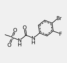 CS(=O)(=O)NC(=O)Nc1ccc(Br)c(F)c1